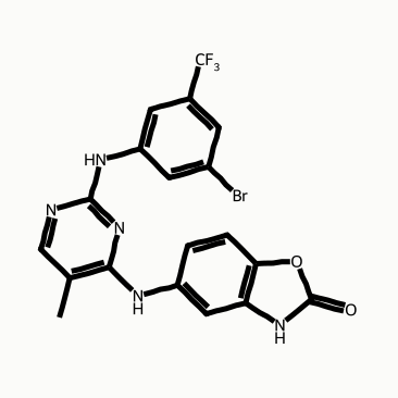 Cc1cnc(Nc2cc(Br)cc(C(F)(F)F)c2)nc1Nc1ccc2oc(=O)[nH]c2c1